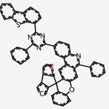 c1ccc(-c2nc(-c3ccc4nc(-c5ccccc5)c5cc6c(cc5c4c3)C3(c4ccccc4O6)c4ccccc4-c4ccccc43)nc(-c3cccc4c3sc3ccccc34)n2)cc1